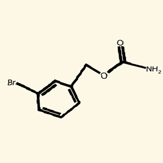 NC(=O)OCc1cccc(Br)c1